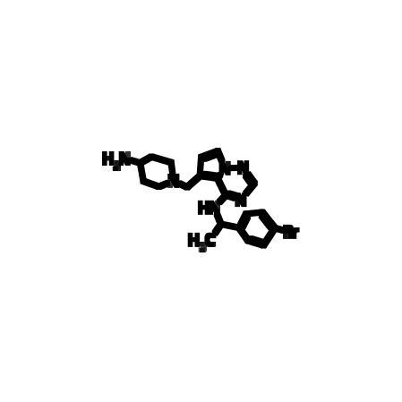 CC(Nc1ncnn2ccc(CN3CCC(N)CC3)c12)c1ccc(Br)cc1